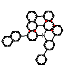 c1ccc(-c2ccc(-c3ccccc3)c(N(c3ccc(-c4ccc5ccccc5c4)cc3)c3ccccc3-c3cccc4cccc(-c5ccccc5)c34)c2)cc1